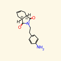 Nc1ccc(CCN2C(=O)[C@H]3CC=CC[C@H]3C2=O)cc1